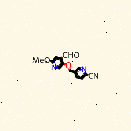 COc1cc(C=O)c(OCc2ccc(C#N)nc2)cn1